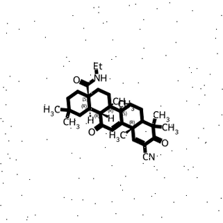 CCNC(=O)[C@]12CCC(C)(C)C[C@@H]1[C@H]1C(=O)C=C3[C@@]4(C)C=C(C#N)C(=O)C(C)(C)C4CC[C@@]3(C)[C@]1(C)CC2